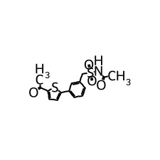 CC(=O)NS(=O)(=O)Cc1cccc(-c2ccc(C(C)=O)s2)c1